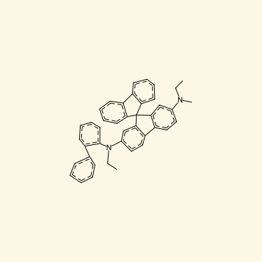 CCN(C)c1ccc2c(c1)C1(c3ccccc3-c3ccccc31)c1cc(N(CC)c3ccccc3-c3ccccc3)ccc1-2